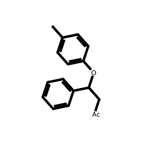 CC(=O)CC(Oc1ccc(C)cc1)c1ccccc1